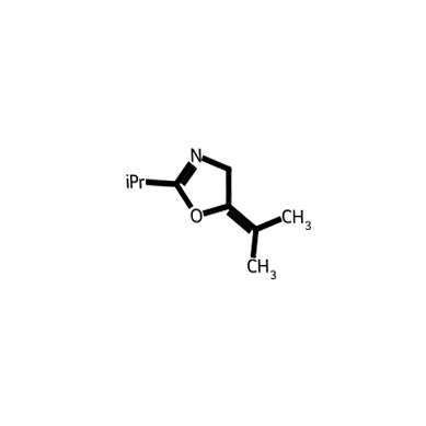 CC(C)=C1CN=C(C(C)C)O1